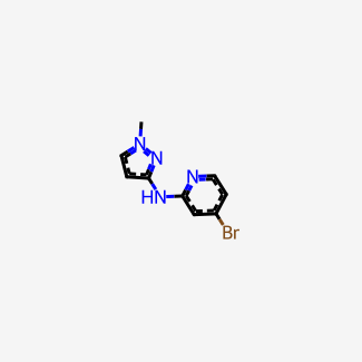 Cn1ccc(Nc2cc(Br)ccn2)n1